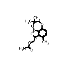 Cc1ccc2c3c1[C@@H](COC(N)=O)OB3OC(C)(C)CO2